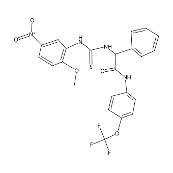 COc1ccc([N+](=O)[O-])cc1NC(=S)NC(C(=O)Nc1ccc(OC(F)(F)F)cc1)c1ccccc1